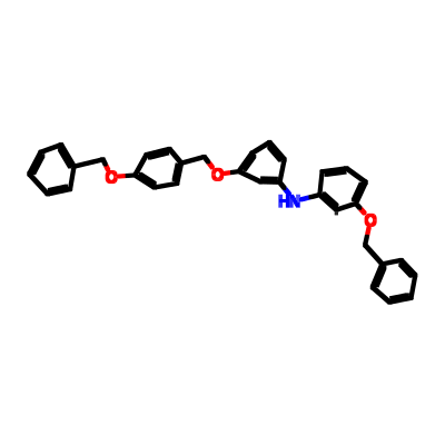 [c]1c(Nc2cccc(OCc3ccc(OCc4ccccc4)cc3)c2)cccc1OCc1ccccc1